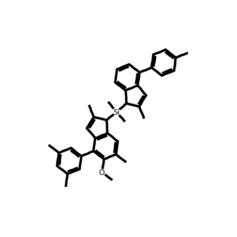 COc1c(C)cc2c(c1-c1cc(C)cc(C)c1)C=C(C)C2[Si](C)(C)C1C(C)=Cc2c(-c3ccc(C)cc3)cccc21